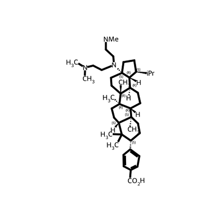 CNCCN(CCN(C)C)[C@]12CC[C@@H](C(C)C)[C@@H]1[C@H]1CC[C@@H]3[C@@]4(C)CC[C@H](c5ccc(C(=O)O)cc5)C(C)(C)[C@@H]4CC[C@@]3(C)[C@]1(C)CC2